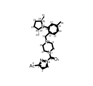 CC(=O)c1ccn(C(=O)N2CCN(Cc3ccc(C)cc3N3[C@H](C)CC[C@H]3C)CC2)n1